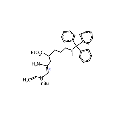 C=CN(/C=C(\N)CC(CCCNC(c1ccccc1)(c1ccccc1)c1ccccc1)C(=O)OCC)CCCC